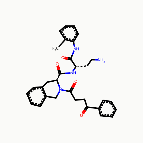 NCC[C@H](NC(=O)[C@@H]1Cc2ccccc2CN1C(=O)CCC(=O)c1ccccc1)C(=O)Nc1ccccc1C(F)(F)F